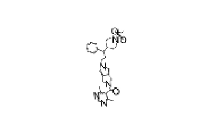 Cc1ncnc(C)c1C(=O)N1CC2=CN(CCC(c3ccccc3)C3CCN(S(C)(=O)=O)CC3)CC2C1